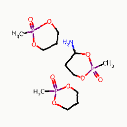 CP1(=O)OCCC(N)O1.CP1(=O)OCCCO1.CP1(=O)OCCCO1